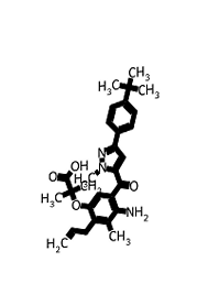 C=CCc1c(OC(C)(C)C(=O)O)cc(C(=O)c2cc(-c3ccc(C(C)(C)C)cc3)nn2C)c(N)c1C